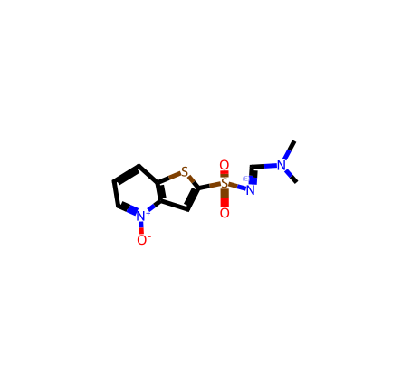 CN(C)/C=N/S(=O)(=O)c1cc2c(ccc[n+]2[O-])s1